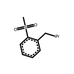 CC(C)Cc1ccccc1S(C)(=O)=O